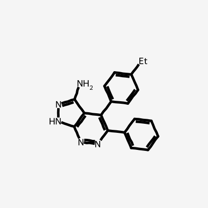 CCc1ccc(-c2c(-c3ccccc3)nnc3[nH]nc(N)c23)cc1